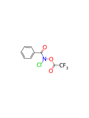 O=C(c1ccccc1)N(Cl)OC(=O)C(F)(F)F